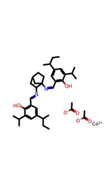 CC(=O)[O-].CC(=O)[O-].CCC(C)c1cc(C=NC2CC3CCC2(N=Cc2cc(C(C)CC)cc(C(C)C)c2O)C3)c(O)c(C(C)C)c1.[Co+2]